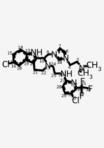 CN(C)CCn1cc[n+](CC2c3[nH]c4ccc(Cl)cc4c3CCN2CCNc2ccc(Cl)c(C(F)(F)F)n2)c1